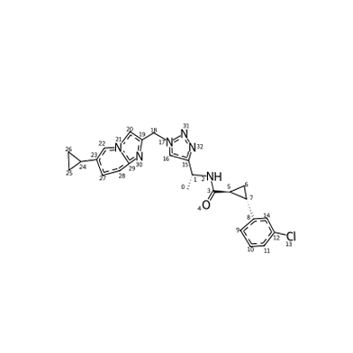 C[C@@H](NC(=O)[C@H]1C[C@@H]1c1cccc(Cl)c1)c1cn(Cc2cn3cc(C4CC4)ccc3n2)nn1